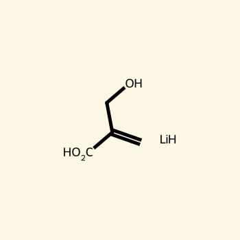 C=C(CO)C(=O)O.[LiH]